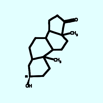 CC12CCC3C(CCC4C[C@@H](O)CCC43C)C1CCC2=O